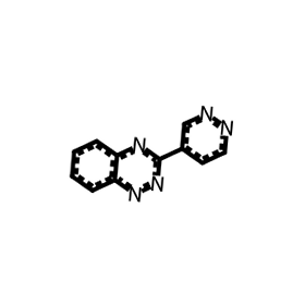 c1ccc2nc(-c3ccnnc3)nnc2c1